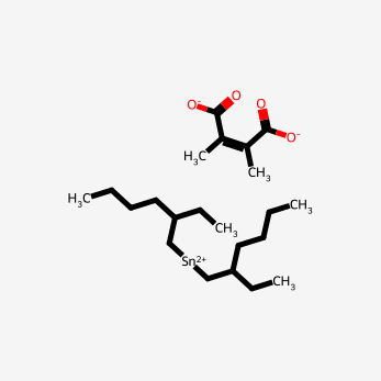 C/C(C(=O)[O-])=C(\C)C(=O)[O-].CCCCC(CC)[CH2][Sn+2][CH2]C(CC)CCCC